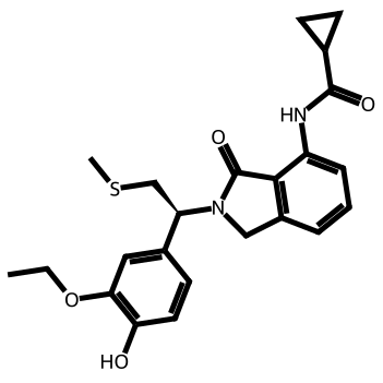 CCOc1cc([C@@H](CSC)N2Cc3cccc(NC(=O)C4CC4)c3C2=O)ccc1O